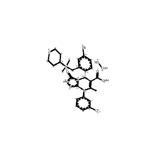 COC(=O)C1=C(C)N(c2cccc(C(F)(F)F)c2)c2n[nH]c(=O)n2[C@@H]1c1ccc(C#N)cc1C[N+](C)(C)C1CCOCC1.O=CO